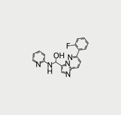 OC(Nc1ccccn1)c1cnc2ccc(-c3ccccc3F)nn12